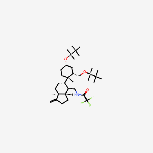 C=C1CC[C@H]2[C@H](CNC(=O)C(F)(F)F)[C@@H]([C@]3(C)CC[C@H](O[Si](C)(C)C(C)(C)C)C[C@@H]3CO[Si](C)(C)C(C)(C)C)CC[C@]12C